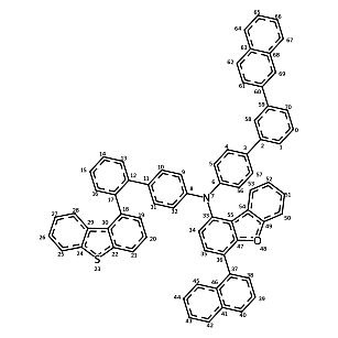 c1cc(-c2ccc(N(c3ccc(-c4ccccc4-c4cccc5sc6ccccc6c45)cc3)c3ccc(-c4cccc5ccccc45)c4oc5ccccc5c34)cc2)cc(-c2ccc3ccccc3c2)c1